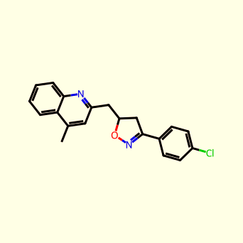 Cc1cc(CC2CC(c3ccc(Cl)cc3)=NO2)nc2ccccc12